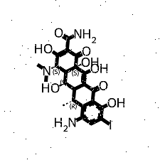 C[C@H]1c2c(N)cc(I)c(O)c2C(=O)C2=C(O)[C@]3(O)C(=O)C(C(N)=O)=C(O)[C@@H](N(C)C)C3[C@@H](O)C21